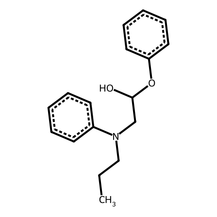 CCCN(CC(O)Oc1ccccc1)c1ccccc1